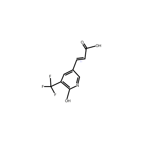 O=C(O)/C=C/c1cnc(O)c(C(F)(F)F)c1